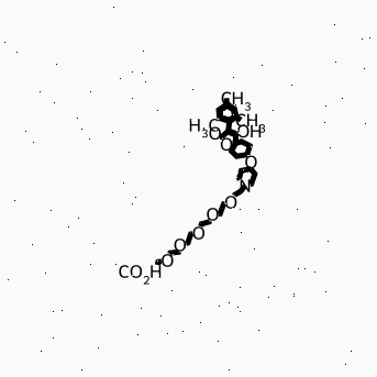 Cc1cc(C)c(C2=C(O)C3(CCC(OC4CCN(CCOCCOCCOCCOCCOCC(=O)O)CC4)CC3)OC2=O)c(C)c1